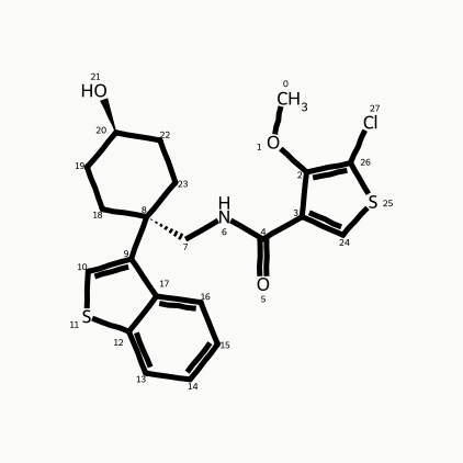 COc1c(C(=O)NC[C@]2(c3csc4ccccc43)CC[C@@H](O)CC2)csc1Cl